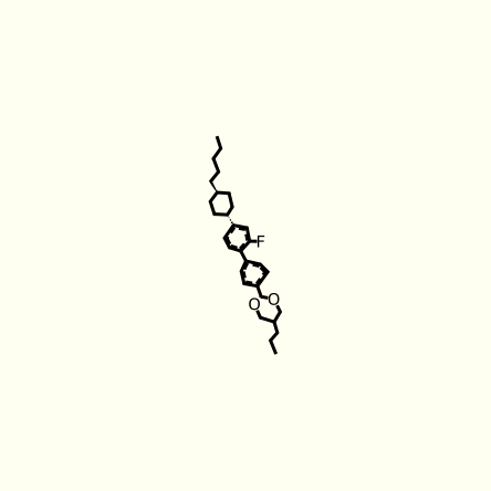 CCCCC[C@H]1CC[C@H](c2ccc(-c3ccc(C4OCC(CCC)CO4)cc3)c(F)c2)CC1